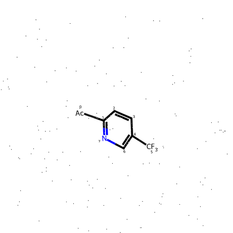 CC(=O)c1ccc(C(F)(F)F)cn1